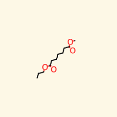 CCCOC(=O)CCCCCC(=O)OC